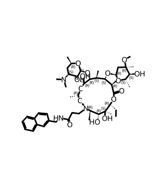 CC[C@H]1OC(=O)[C@H](C)[C@@H](O[C@H]2C[C@@](C)(OC)[C@@H](O)[C@H](C)O2)[C@H](C)[C@@H](O[C@@H]2O[C@H](C)C[C@H](N(C)C)[C@H]2O)[C@](C)(O)C[C@@H](C)CN(CCC(=O)NCc2ccc3ccccc3c2)[C@H](C)[C@@H](O)[C@]1(C)O